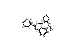 O=C=C1CCCN1c1cc(-c2ccccc2)nc2ccccc12